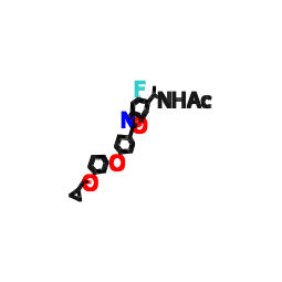 CC(=O)NC(C)c1cc2oc(-c3ccc(Oc4cccc(OCC5CC5)c4)cc3)nc2cc1F